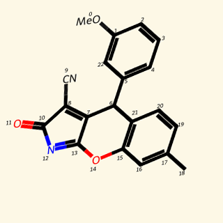 COc1cccc(C2C3=C(C#N)C(=O)N=C3Oc3cc(C)ccc32)c1